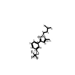 C[C](C)CCn1nc(-c2cccc(OC(F)(F)F)c2)cc1C